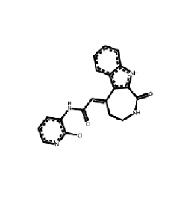 O=C(C=C1CCNC(=O)c2[nH]c3ccccc3c21)Nc1cccnc1Cl